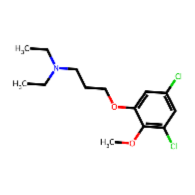 CCN(CC)CCCOc1cc(Cl)cc(Cl)c1OC